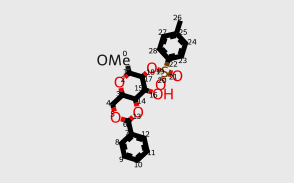 COC1OC2COC(c3ccccc3)OC2C(O)C1OS(=O)(=O)c1ccc(C)cc1